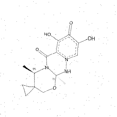 C[C@H]1N2C(=O)c3c(O)c(=O)c(O)cn3N[C@@]2(C)OCC12CC2